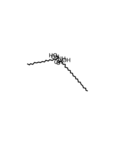 CCCCCCCCCCCCCCCCCCCCC(O)C(=O)NC(CO)C(O)C(O)CCCCCCCCCCCCCC